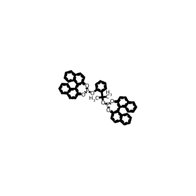 CC(C)(Op1oc2ccc3ccccc3c2c2c(ccc3ccccc32)o1)c1ccccc1Op1oc2ccc3ccccc3c2c2c(ccc3ccccc32)o1